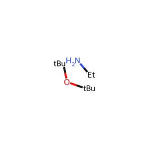 CC(C)(C)OC(C)(C)C.CCN